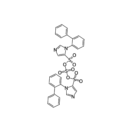 O=S(=O)(OS(=O)(=O)c1cncn1-c1ccccc1-c1ccccc1)OS(=O)(=O)c1cncn1-c1ccccc1-c1ccccc1